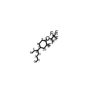 CCCCC(CC)C1CCC(OC(F)C(F)(F)F)C(F)C1